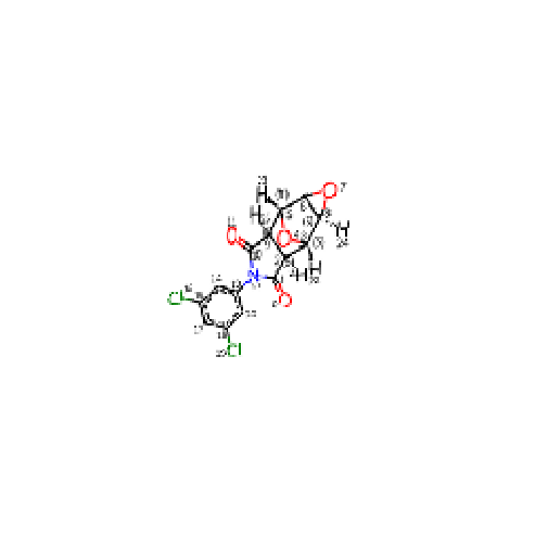 O=C1[C@@H]2[C@@H]3O[C@@H](C4O[C@H]43)[C@@H]2C(=O)N1c1cc(Cl)cc(Cl)c1